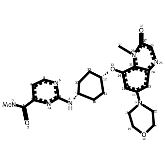 CNC(=O)c1ccnc(N[C@H]2CC[C@@H](Oc3cc(N4CCOCC4)cc4ncc(=O)n(C)c34)CC2)n1